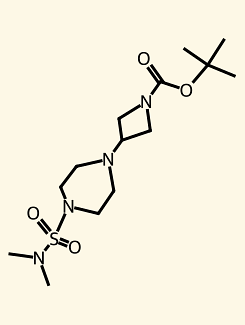 CN(C)S(=O)(=O)N1CCN(C2CN(C(=O)OC(C)(C)C)C2)CC1